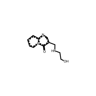 O=c1c(CNCCO)cnc2ccccn12